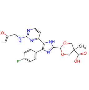 CC1(C(=O)O)COC(c2nc(-c3ccc(F)cc3)c(-c3ccnc(NCc4ccco4)n3)[nH]2)OC1